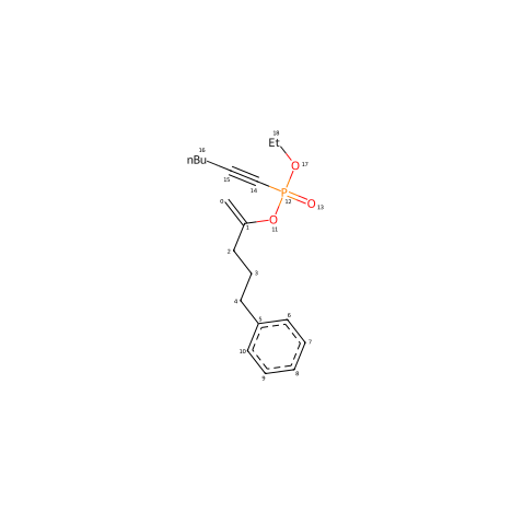 C=C(CCCc1ccccc1)OP(=O)(C#CCCCC)OCC